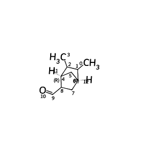 CC1C(C)[C@H]2C[C@@H]1CC2C=O